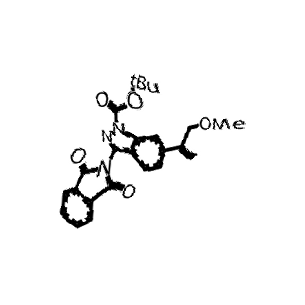 C=C(COC)c1ccc2c(N3C(=O)c4ccccc4C3=O)nn(C(=O)OC(C)(C)C)c2c1